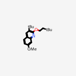 COc1ccc2cc(C(C)(C)C)c(OCCC(C)(C)C)nc2c1